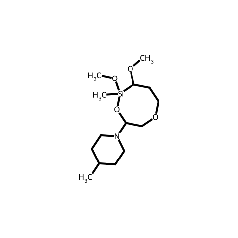 COC1CCOCC(N2CCC(C)CC2)O[Si]1(C)OC